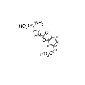 N[C@@H](CCNC(=O)Oc1cccc(CC(=O)O)c1)C(=O)O